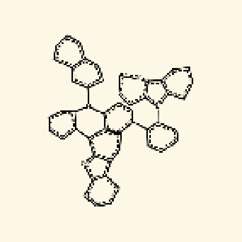 c1ccc(N(c2ccc(-c3ccccc3-n3c4ccccc4c4ccccc43)cc2)c2ccc3ccccc3c2)c(-c2cccc3c2oc2ccccc23)c1